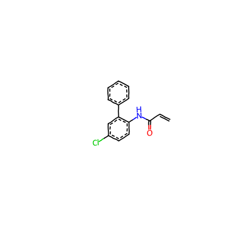 C=CC(=O)Nc1ccc(Cl)cc1-c1ccccc1